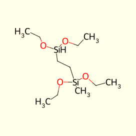 CCO[SiH](CC[Si](C)(OCC)OCC)OCC